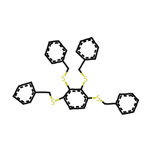 c1ccc(CSc2ccc(SCc3ccccc3)c(SCc3ccccc3)c2SCc2ccccc2)cc1